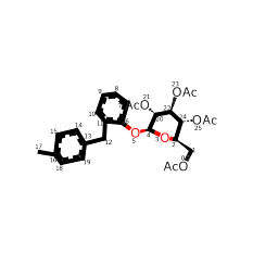 CC(=O)OC[C@H]1O[C@@H](Oc2ccccc2Cc2ccc(C)cc2)[C@H](OC(C)=O)[C@@H](OC(C)=O)[C@@H]1OC(C)=O